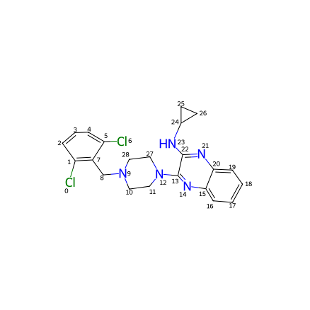 Clc1cccc(Cl)c1CN1CCN(c2nc3ccccc3nc2NC2CC2)CC1